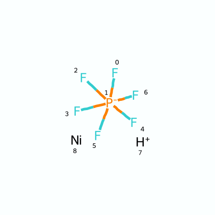 F[P-](F)(F)(F)(F)F.[H+].[Ni]